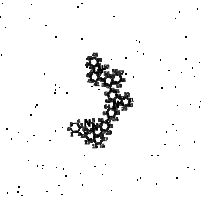 C/C=C\C(=C/C)c1ncnc2c1ccc1cccc(-c3ccc(-c4ccc(-n5c6ccccc6c6cc(-c7cc(-c8cccc9c%10ccccc%10n(C)c89)cc8ccccc78)ccc65)cc4)cc3)c12